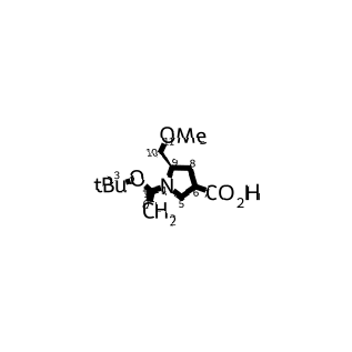 C=C(OC(C)(C)C)N1CC(C(=O)O)C[C@@H]1COC